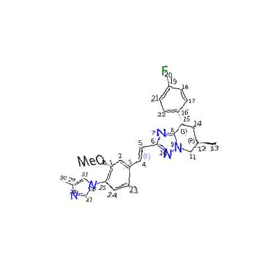 COc1cc(/C=C/c2nc3n(n2)C[C@H](C)C[C@H]3c2ccc(F)cc2)ccc1-n1cnc(C)c1